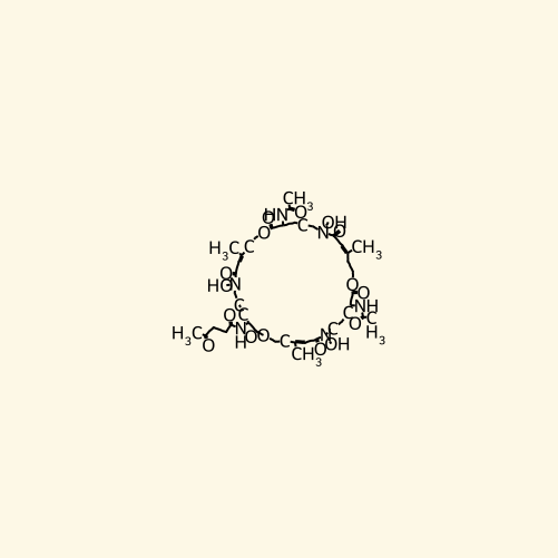 CC(=O)CCC(=O)NC1CCCN(O)C(=O)/C=C(/C)CCOC(=O)C(NC(C)=O)CCCN(O)C(=O)/C=C(/C)CCOC(=O)C(NC(C)=O)CCCN(O)C(=O)/C=C(/C)CCOC1=O